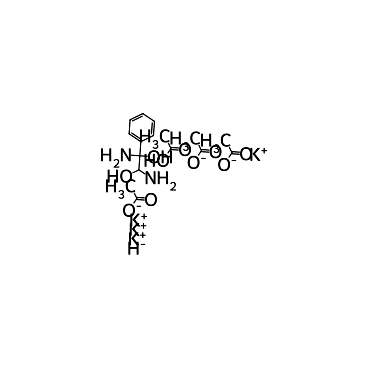 CC(=O)O.CC(=O)[O-].CC(=O)[O-].CC(=O)[O-].NC(O)C(N)(O)c1ccccc1.[H-].[K+].[K+].[K+].[K+]